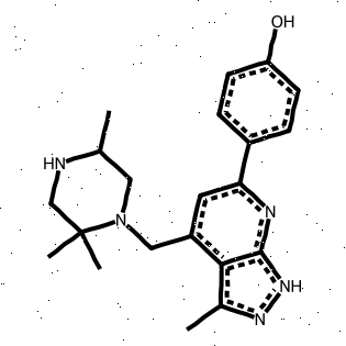 Cc1n[nH]c2nc(-c3ccc(O)cc3)cc(CN3CC(C)NCC3(C)C)c12